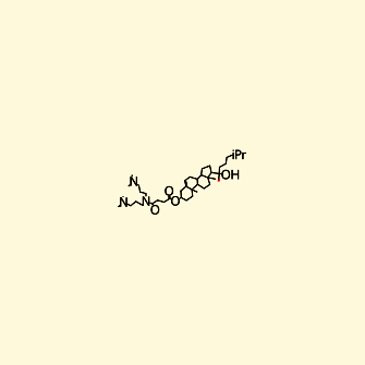 CC(C)CCCC(C)(O)C1CCC2C3CC=C4CC(OC(=O)CCC(=O)N(CCCN(C)C)CCCN(C)C)CCC4(C)C3CCC21C